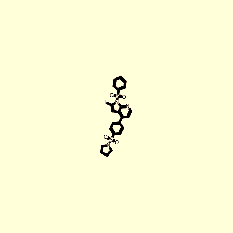 O=S(=O)(c1ccc(-c2ccnc3c2cc(I)n3S(=O)(=O)c2ccccc2)cc1)N1CCCC1